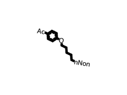 CCCCCCCCCCCCCCOc1ccc(C(C)=O)cc1